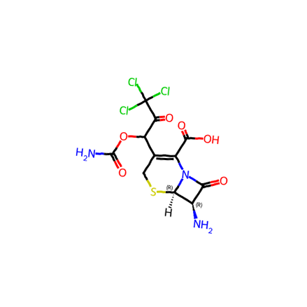 NC(=O)OC(C(=O)C(Cl)(Cl)Cl)C1=C(C(=O)O)N2C(=O)[C@@H](N)[C@H]2SC1